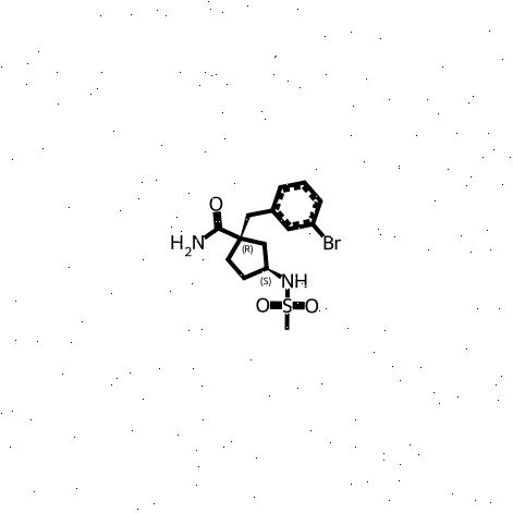 CS(=O)(=O)N[C@H]1CC[C@](Cc2cccc(Br)c2)(C(N)=O)C1